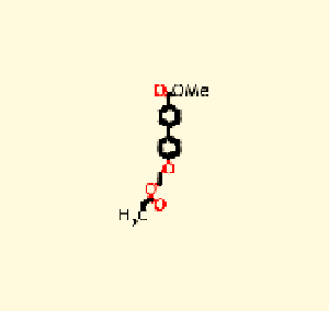 C=CC(=O)OCCOc1ccc(-c2ccc(C(=O)OC)cc2)cc1